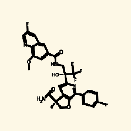 COc1cc(C(=O)NC[C@](O)(c2cc3c(c(-c4ccc(F)cc4)n2)OC[C@]3(C)C(N)=O)C(F)(F)F)cc2cc(F)cnc12